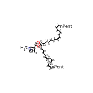 CCCCC/C=C\C/C=C\C/C=C\CCCCCCCC1(CCCCC/C=C\C/C=C\C/C=C\CCCCC)OCC(CCN(C)C)O1